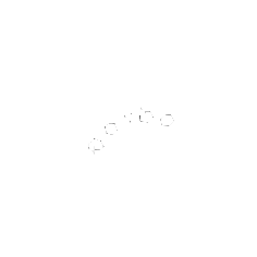 Cc1cc(-c2ccc(CNC(=O)c3ccc(-c4ccccc4)cn3)cc2)ccn1